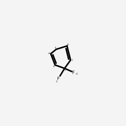 FC1(F)C=[C]CC=C1